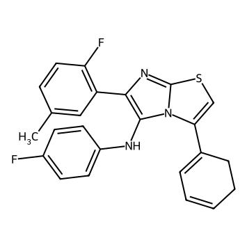 Cc1ccc(F)c(-c2nc3scc(C4=CC=CCC4)n3c2Nc2ccc(F)cc2)c1